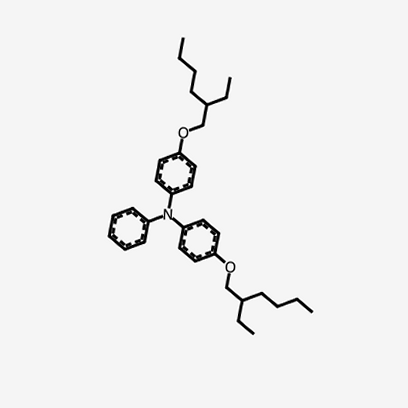 CCCCC(CC)COc1ccc(N(c2ccccc2)c2ccc(OCC(CC)CCCC)cc2)cc1